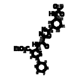 CCOC(=O)c1cc(-c2ccccc2)sc1NC(=O)c1nnc(-c2cccc(NS(C)(=O)=O)c2)o1